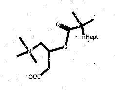 CCCCCCCC(C)(C)C(=O)OC(CC(=O)[O-])C[N+](C)(C)C